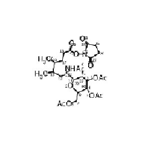 CC(=O)N[C@H]1C(OC(C)=O)[C@@H](OC(C)=O)C(COC(C)=O)O[C@H]1SCC(C)C(C)CCC(=O)ON1C(=O)CCC1=O